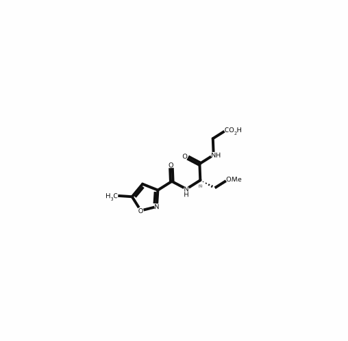 COC[C@H](NC(=O)c1cc(C)on1)C(=O)NCC(=O)O